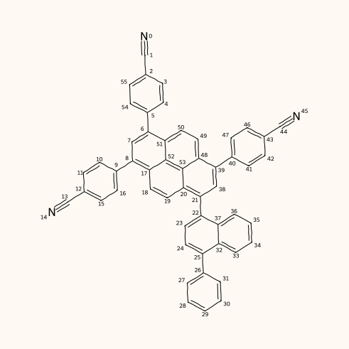 N#Cc1ccc(-c2cc(-c3ccc(C#N)cc3)c3ccc4c(-c5ccc(-c6ccccc6)c6ccccc56)cc(-c5ccc(C#N)cc5)c5ccc2c3c54)cc1